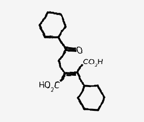 O=C(O)C(CC(=O)C1CCCCC1)=C(C(=O)O)C1CCCCC1